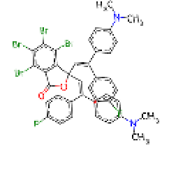 CN(C)c1ccc(/C(=C/C2(/C=C(\c3ccc(F)cc3)c3ccc(N(C)C)cc3)OC(=O)c3c(Br)c(Br)c(Br)c(Br)c32)c2ccc(F)cc2)cc1